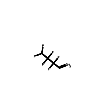 C=CC(F)(F)C(F)(F)C(F)F